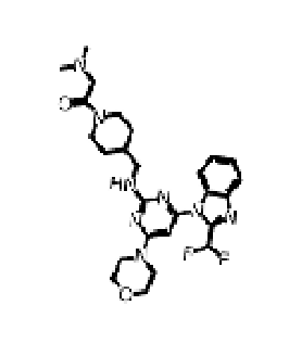 CN(C)CC(=O)N1CCC(CNc2nc(N3CCOCC3)cc(-n3c(C(F)F)nc4ccccc43)n2)CC1